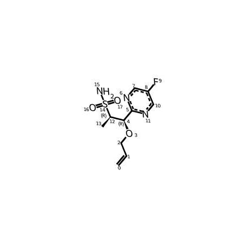 C=CCO[C@H](c1ncc(F)cn1)[C@@H](C)S(N)(=O)=O